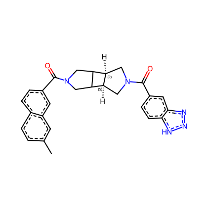 Cc1ccc2ccc(C(=O)N3CC4C(C3)[C@@H]3CN(C(=O)c5ccc6[nH]nnc6c5)C[C@H]43)cc2c1